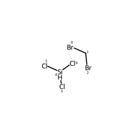 BrCBr.Cl[SiH](Cl)Cl